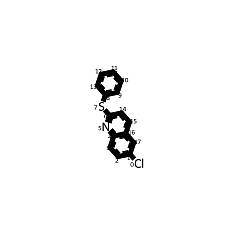 Clc1ccc2nc(Sc3cc[c]cc3)ccc2c1